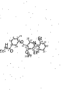 CCNC(=O)c1ccc(C)c(OCc2c(OC(C)C)cc(-c3c(CC)cccc3CC)nc2C)c1